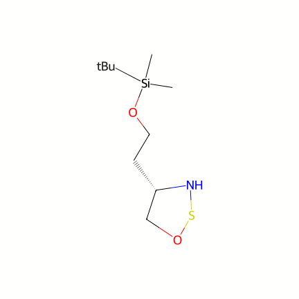 CC(C)(C)[Si](C)(C)OCC[C@H]1COSN1